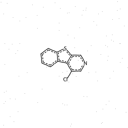 Clc1cncc2sc3ccccc3c12